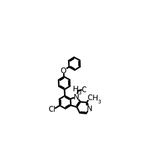 CCn1c2c(-c3ccc(Oc4ccccc4)cc3)cc(Cl)cc2c2ccnc(C)c21